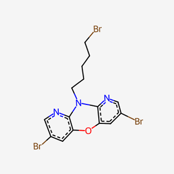 BrCCCCCN1c2ncc(Br)cc2Oc2cc(Br)cnc21